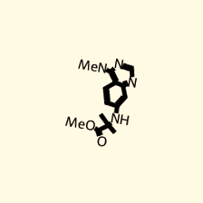 CNc1ncnc2cc(NC(C)(C)C(=O)OC)ccc12